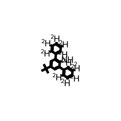 [2H]c1c([2H])c([2H])c(-c2cc(C(C)(C)C)cc(-c3c([2H])c([2H])c([2H])c([2H])c3[2H])c2N)c([2H])c1[2H]